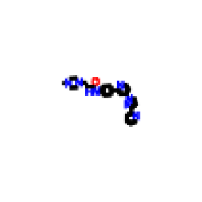 CN1CCN(CCC(=O)Nc2ccc(-c3cc(-n4ccc(-c5ccccn5)n4)ccn3)cc2)CC1